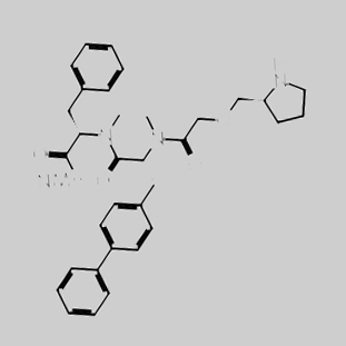 CNC(=O)[C@@H](Cc1ccccc1)N(C)C(=O)[C@@H](Cc1ccc(-c2ccccc2)cc1)N(C)C(=O)COC[C@@H]1CCCN1